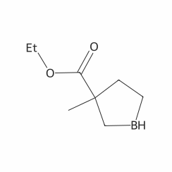 CCOC(=O)C1(C)CBCC1